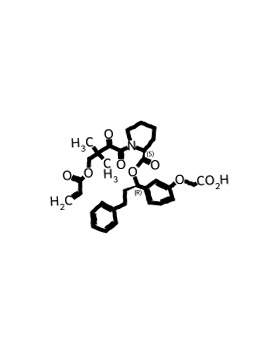 C=CC(=O)OCC(C)(C)C(=O)C(=O)N1CCCC[C@H]1C(=O)O[C@H](CCc1ccccc1)c1cccc(OCC(=O)O)c1